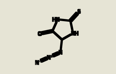 [N-]=[N+]=NC1NC(=S)NC1=O